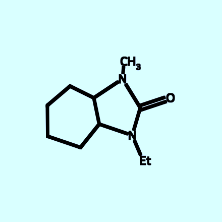 CCN1C(=O)N(C)C2CCCCC21